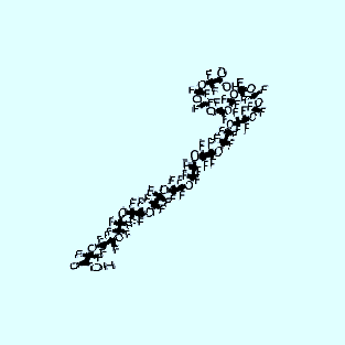 O=C(O)C(F)(F)OC(F)(F)OC(F)(F)OC(F)(F)OC(F)(F)OC(F)(F)OC(F)(F)OC(F)(F)OC(F)(F)C(F)(F)OC(F)(F)C(F)(F)OC(F)(F)C(F)(F)OC(F)(F)C(F)(F)OC(F)(F)C(F)(F)OC(F)(F)C(F)(F)OC(F)(F)C(F)(F)OC(F)(F)C(F)(F)OC(F)(F)C(F)(F)OC(F)(F)C(=O)O